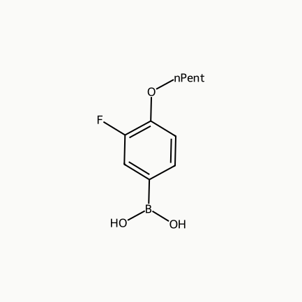 CCCCCOc1ccc(B(O)O)cc1F